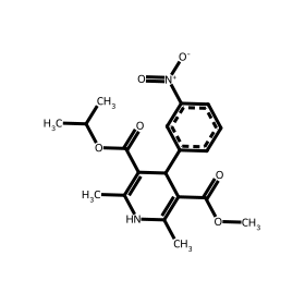 COC(=O)C1=C(C)NC(C)=C(C(=O)OC(C)C)C1c1cccc([N+](=O)[O-])c1